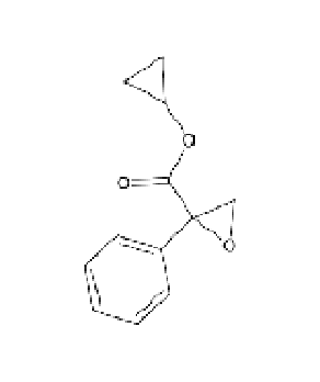 O=C(OC1CC1)C1(c2ccccc2)CO1